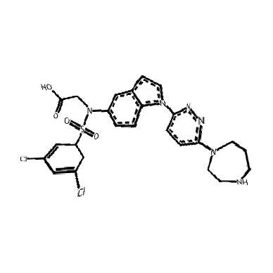 O=C(O)CN(c1ccc2c(ccn2-c2ccc(N3CCCNCC3)nn2)c1)S(=O)(=O)C1C=C(Cl)C=C(Cl)C1